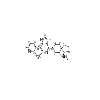 Cc1nc(N2CCC3(CCC[C@H]3N)CC2)n2ccnc2c1-c1cccnc1